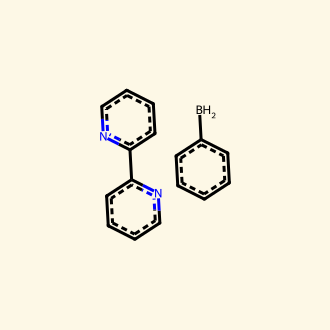 Bc1ccccc1.c1ccc(-c2ccccn2)nc1